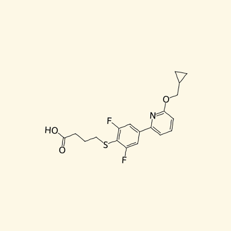 O=C(O)CCCSc1c(F)cc(-c2cccc(OCC3CC3)n2)cc1F